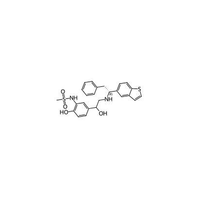 CS(=O)(=O)Nc1cc(C(O)CN[C@H](Cc2ccccc2)c2ccc3sccc3c2)ccc1O